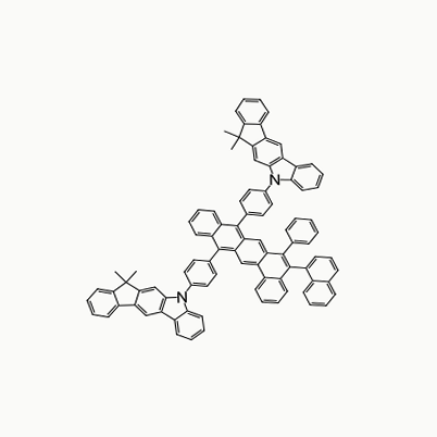 CC1(C)c2ccccc2-c2cc3c4ccccc4n(-c4ccc(-c5c6ccccc6c(-c6ccc(-n7c8ccccc8c8cc9c(cc87)C(C)(C)c7ccccc7-9)cc6)c6cc7c(cc56)c(-c5ccccc5)c(-c5cccc6ccccc56)c5ccccc57)cc4)c3cc21